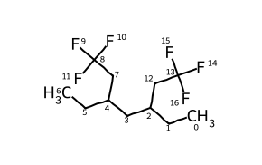 CCC(CC(CC)CC(F)(F)F)CC(F)(F)F